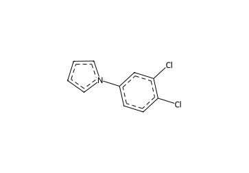 Clc1ccc(-n2cccc2)cc1Cl